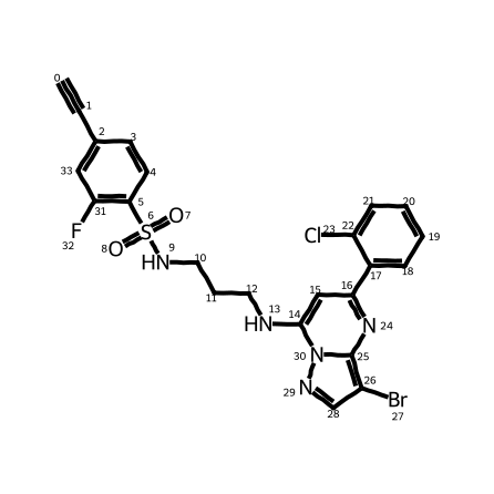 C#Cc1ccc(S(=O)(=O)NCCCNc2cc(-c3ccccc3Cl)nc3c(Br)cnn23)c(F)c1